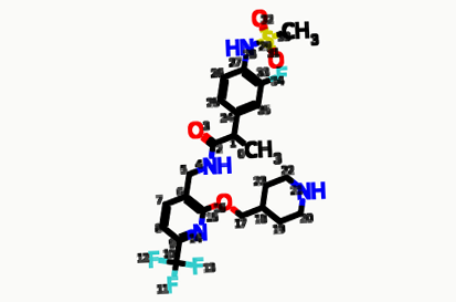 CC(C(=O)NCc1ccc(C(F)(F)F)nc1OCC1CCNCC1)c1ccc(NS(C)(=O)=O)c(F)c1